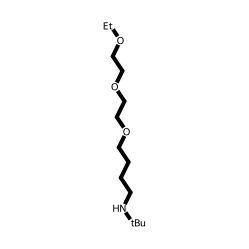 CCOCCOCCOCCCCNC(C)(C)C